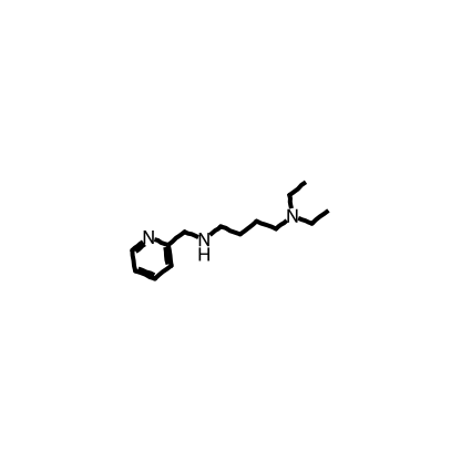 CCN(CC)CCCCNCc1ccccn1